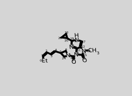 CC/C=C\C=C\C1CN(C(=O)n2c3c(n(C)c2=O)=CNC(C2CC2)N=3)C1